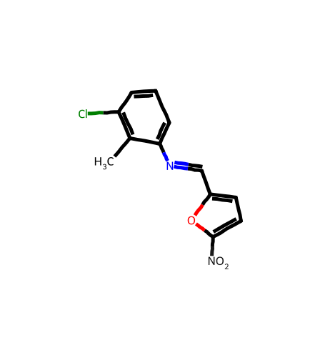 Cc1c(Cl)cccc1/N=C/c1ccc([N+](=O)[O-])o1